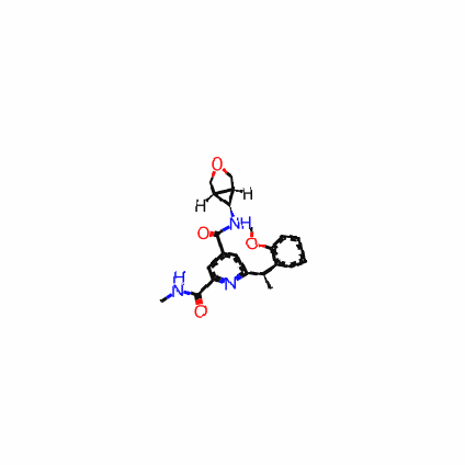 CNC(=O)c1cc(C(=O)N[C@H]2[C@@H]3COC[C@@H]32)cc([C@H](C)c2ccccc2OC)n1